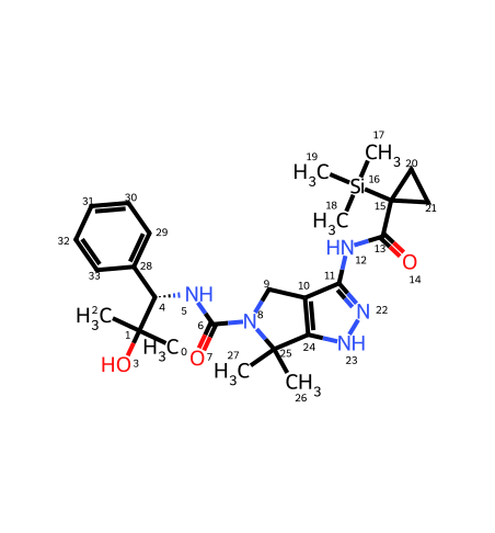 CC(C)(O)[C@@H](NC(=O)N1Cc2c(NC(=O)C3([Si](C)(C)C)CC3)n[nH]c2C1(C)C)c1ccccc1